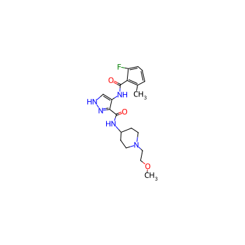 COCCN1CCC(NC(=O)c2n[nH]cc2NC(=O)c2c(C)cccc2F)CC1